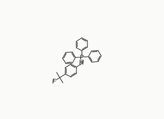 CC(C)(F)c1ccc(C[PH](c2ccccc2)(c2ccccc2)c2ccccc2)cc1